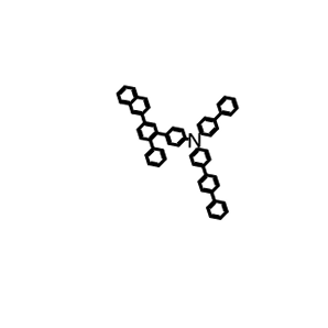 c1ccc(-c2ccc(-c3ccc(N(c4ccc(-c5ccccc5)cc4)c4ccc(-c5cc(-c6ccc7ccccc7c6)ccc5-c5ccccc5)cc4)cc3)cc2)cc1